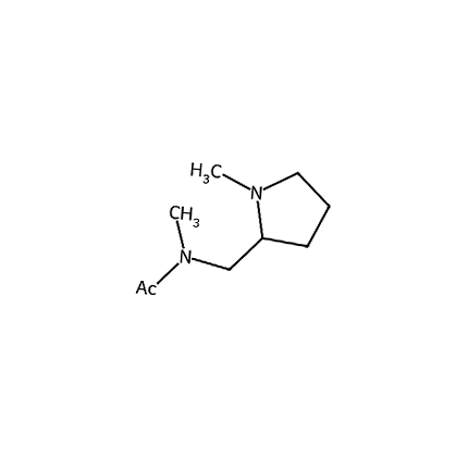 CC(=O)N(C)CC1CCCN1C